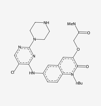 CCCCn1c(=O)c(OCC(=O)NC)cc2cc(Nc3nc(N4CCNCC4)ncc3Cl)ccc21